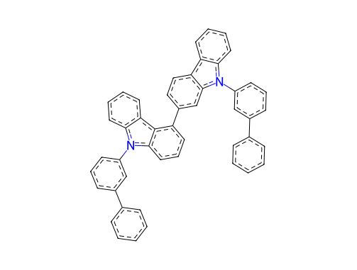 c1ccc(-c2cccc(-n3c4ccccc4c4ccc(-c5cccc6c5c5ccccc5n6-c5cccc(-c6ccccc6)c5)cc43)c2)cc1